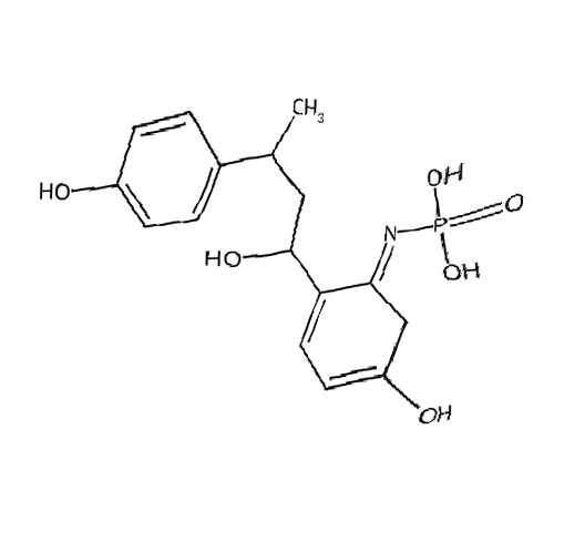 CC(CC(O)C1=CC=C(O)CC1=NP(=O)(O)O)c1ccc(O)cc1